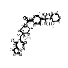 CC(C)(c1ccccc1)c1ccc(C(=O)N2CCC(O)(Cn3cnn4cccc4c3=O)CC2)cc1